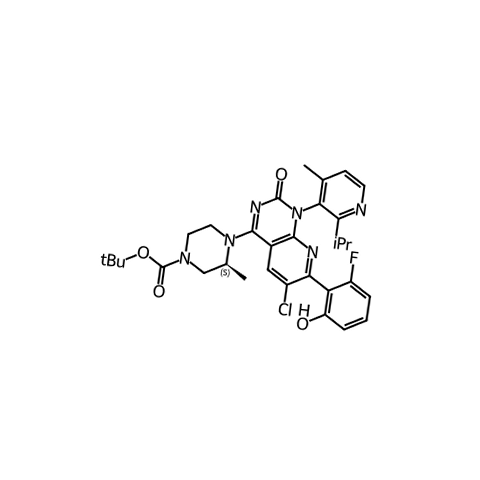 Cc1ccnc(C(C)C)c1-n1c(=O)nc(N2CCN(C(=O)OC(C)(C)C)C[C@@H]2C)c2cc(Cl)c(-c3c(O)cccc3F)nc21